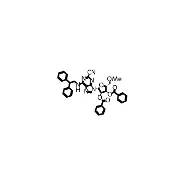 COC[C@H]1O[C@@H](n2cnc3c(NCC(c4ccccc4)c4ccccc4)nc(C#N)nc32)[C@H](OC(=O)c2ccccc2)[C@@H]1OC(=O)c1ccccc1